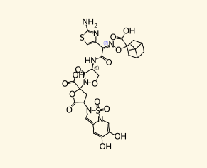 CC1(C)C2CC1CC(O/N=C(\C(=O)N[C@H]1CON(C3(C(=O)O)CC(N4C=C5C=C(O)C(O)=CN5S4(=O)=O)C(=O)O3)C1=O)c1csc(N)n1)(C(=O)O)C2